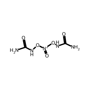 NC(=O)NO[N+](=O)ONC(N)=O